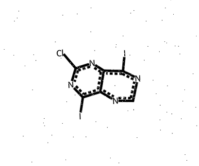 Clc1nc(I)c2ncnc(I)c2n1